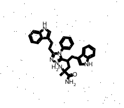 CC(N)(CC(Cc1c[nH]c2ccccc12)c1nnc(CCc2c[nH]c3ccccc23)n1-c1ccccc1)C(N)=O